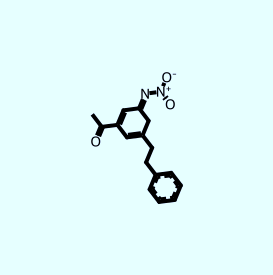 CC(=O)C1=CC(=N[N+](=O)[O-])CC(CCc2ccccc2)=C1